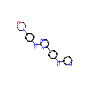 c1cncc(Nc2ccc(-c3ccnc(Nc4ccc(N5CCOCC5)cc4)n3)cc2)c1